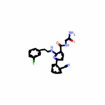 N#Cc1ccccc1-c1ccc(C(=O)NCC(N)=O)c(NCCc2cccc(F)c2)n1